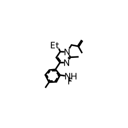 C=C(C)CN1C(C)=NC(c2ccc(C)cc2NF)=CC1CC